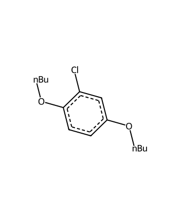 CCCCOc1ccc(OCCCC)c(Cl)c1